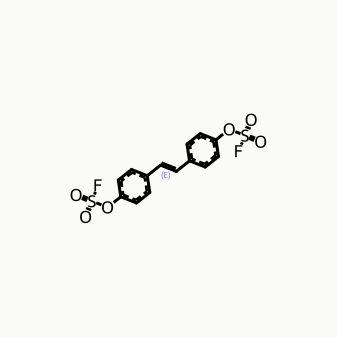 O=S(=O)(F)Oc1ccc(/C=C/c2ccc(OS(=O)(=O)F)cc2)cc1